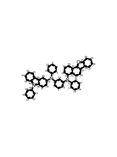 c1ccc(N(c2cccc(N(c3ccccc3)c3cccc4c3ccc3c5ccccc5oc43)c2)c2ccc3c(c2)c2ccccc2n3-c2ccccc2)cc1